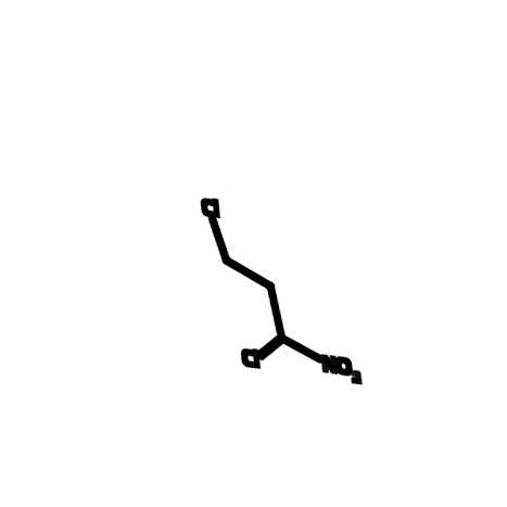 O=[N+]([O-])C(Cl)CCCl